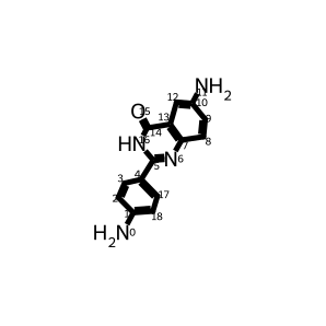 Nc1ccc(-c2nc3ccc(N)cc3c(=O)[nH]2)cc1